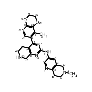 Cc1c(-c2nc(Nc3cnc4c(c3)CN(C)CC4)nc3c2CCNC3)cnc2c1OCCO2